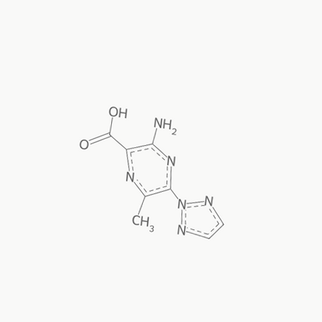 Cc1nc(C(=O)O)c(N)nc1-n1nccn1